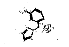 CO.CS(=O)(=O)O.O=[N+]([O-])c1cccc(Cn2cccn2)c1